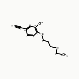 CCOCCCOc1ccc(C#N)cc1Cl